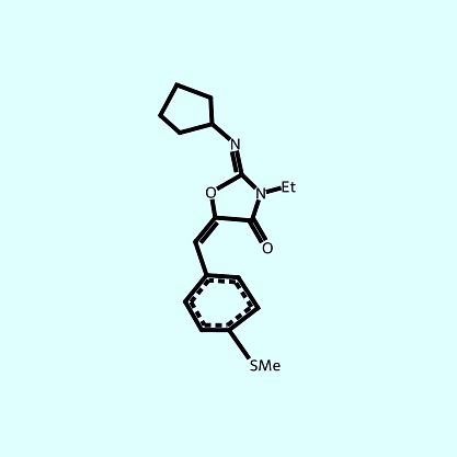 CCN1C(=O)/C(=C\c2ccc(SC)cc2)OC1=NC1CCCC1